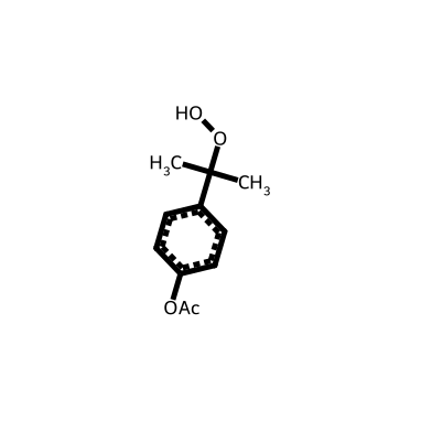 CC(=O)Oc1ccc(C(C)(C)OO)cc1